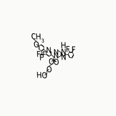 CCCOc1ccc(-c2ccc(C(C(=O)OCCOCCO)N3Cc4nc(-c5cccc(F)c5F)[nH]c4C=N3)cn2)c(C(F)(F)F)c1